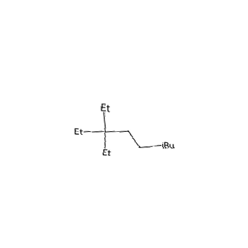 CCC(C)CCC(CC)(CC)CC